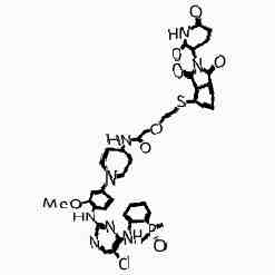 COc1cc(N2CCC(NC(=O)COCCSc3cccc4c3C(=O)N(C3CCC(=O)NC3=O)C4=O)CC2)ccc1Nc1ncc(Cl)c(Nc2ccccc2P(C)(C)=O)n1